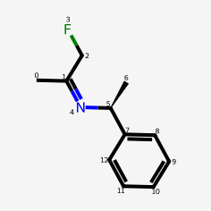 C/C(CF)=N/[C@@H](C)c1ccccc1